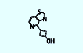 OC1CC(c2nccc3scnc23)C1